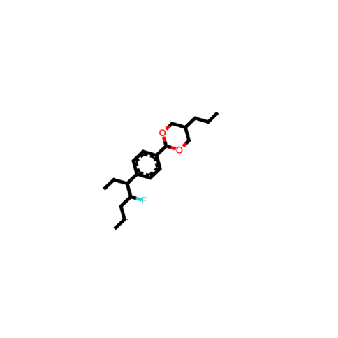 C[CH]CC(F)C(CC)c1ccc(C2OCC(CCC)CO2)cc1